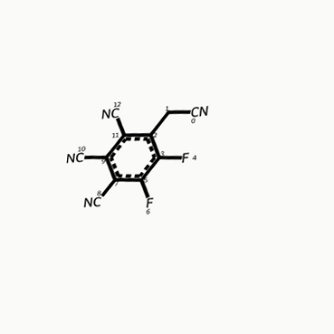 N#CCc1c(F)c(F)c(C#N)c(C#N)c1C#N